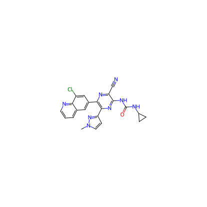 Cn1ccc(-c2nc(NC(=O)NC3CC3)c(C#N)nc2-c2cc(Cl)c3ncccc3c2)n1